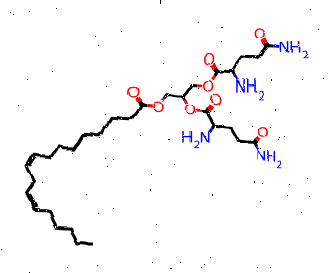 CCCCC/C=C\C/C=C\CCCCCCCC(=O)OCC(COC(=O)C(N)CCC(N)=O)OC(=O)C(N)CCC(N)=O